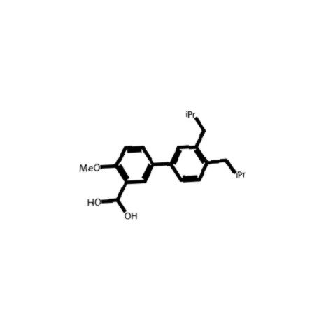 COc1ccc(-c2ccc(CC(C)C)c(CC(C)C)c2)cc1C(O)O